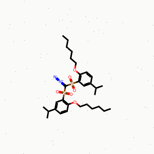 CCCCCCOc1ccc(C(C)C)cc1S(=O)(=O)C(=[N+]=[N-])S(=O)(=O)c1cc(C(C)C)ccc1OCCCCCC